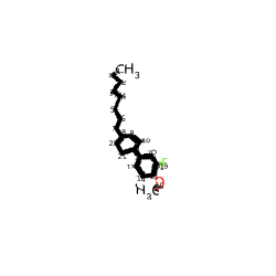 CCCCCCCCc1ccc(-c2ccc(OC)c(F)c2)cc1